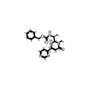 C[C@H](NC(=O)OCc1ccccc1)C1NC(c2ccncn2)=CC(=O)N1C